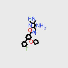 Cc1ncc(CN(C)C(=O)c2ccc(-c3cccc(F)c3)c(OC3CCCC3)c2)c(N)c1C=N